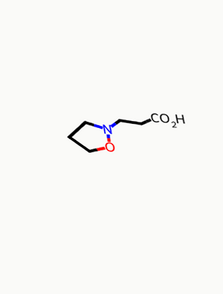 O=C(O)CCN1CCCO1